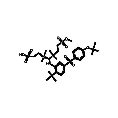 COS(=O)(=O)CC[N+](C)(C)C(Nc1cc(S(=O)(=O)c2ccc(OC(C)(C)C)cc2)ccc1C(C)(C)C)[N+](C)(C)CCS(=O)(=O)O